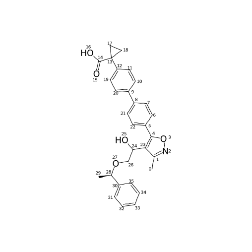 Cc1noc(-c2ccc(-c3ccc(C4(C(=O)O)CC4)cc3)cc2)c1C(O)CO[C@H](C)c1ccccc1